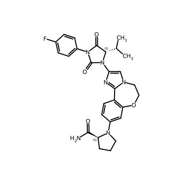 CC(C)[C@H]1C(=O)N(c2ccc(F)cc2)C(=O)N1c1cn2c(n1)-c1ccc(N3CCC[C@H]3C(N)=O)cc1OCC2